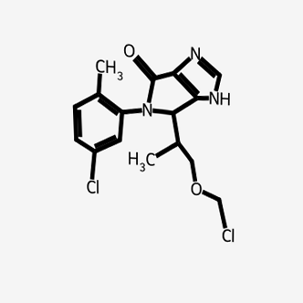 Cc1ccc(Cl)cc1N1C(=O)c2nc[nH]c2C1C(C)COCCl